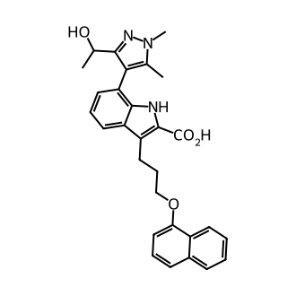 Cc1c(-c2cccc3c(CCCOc4cccc5ccccc45)c(C(=O)O)[nH]c23)c(C(C)O)nn1C